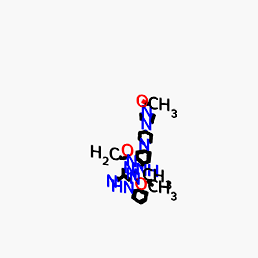 C=CC(=O)Nc1cc(N2CCC(N3CCN(C(C)=O)CC3)CC2)ccc1Nc1ncc(C#N)c(Nc2ccccc2OC(C)C)n1